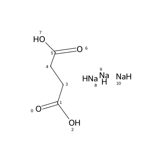 O=C(O)CCC(=O)O.[NaH].[NaH].[NaH]